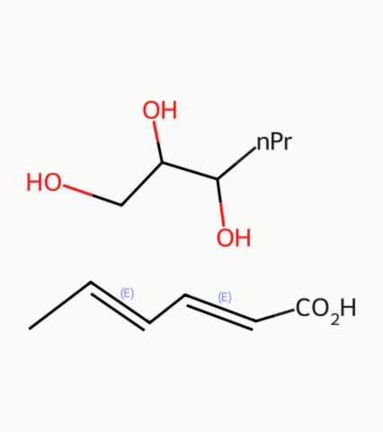 C/C=C/C=C/C(=O)O.CCCC(O)C(O)CO